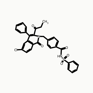 CCC(=O)c1c(-c2ccccc2)c2cc(Cl)ccc2c(=O)n1Cc1ccc(C(=O)NS(=O)(=O)c2ccccc2)cc1